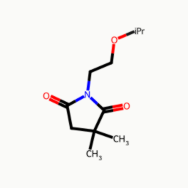 CC(C)OCCN1C(=O)CC(C)(C)C1=O